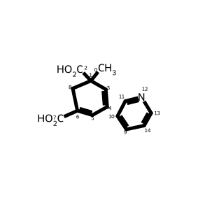 CC1(C(=O)O)C=CC=C(C(=O)O)C1.c1ccncc1